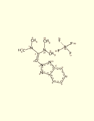 CN(C)C(=[O+]n1nc2ccccc2n1)N(C)C.F[B-](F)(F)F